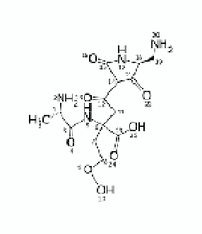 C[C@H](N)C(=O)NC(CCOO)(CC(=O)C1C(=O)N[C@@H](CN)C1=O)C(=O)O